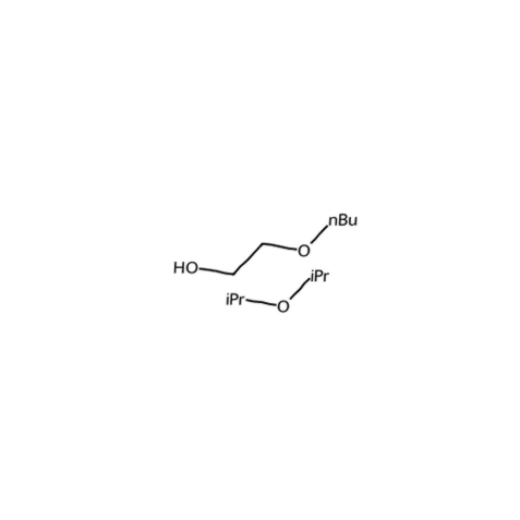 CC(C)OC(C)C.CCCCOCCO